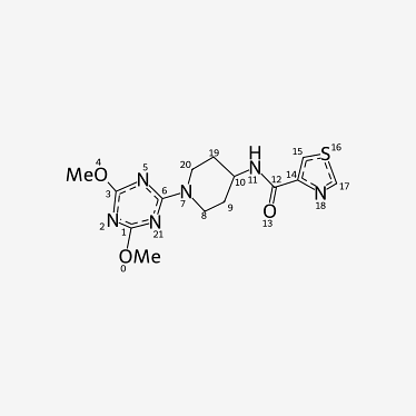 COc1nc(OC)nc(N2CCC(NC(=O)c3cscn3)CC2)n1